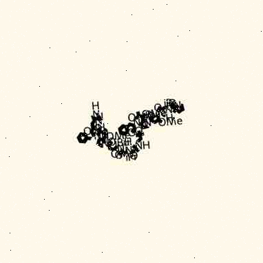 CCC(C)C(C(CC(=O)N1CCCC1C(OC)C(C)C(=O)N[C@H](Cc1ccccc1)C(=O)NCc1c[nH]nn1)OC)N(C)C(=O)C(NC(=O)C(C)(C)NCCC(C)(C)OC(=O)C(Cc1ccccc1)NC(=O)C(C)C(OC)C1CCCN1C(=O)CC(OC)C(C(C)CC)N(C)C(=O)C(NC(=O)C1(C)CCCN1)C(C)C)C(C)C